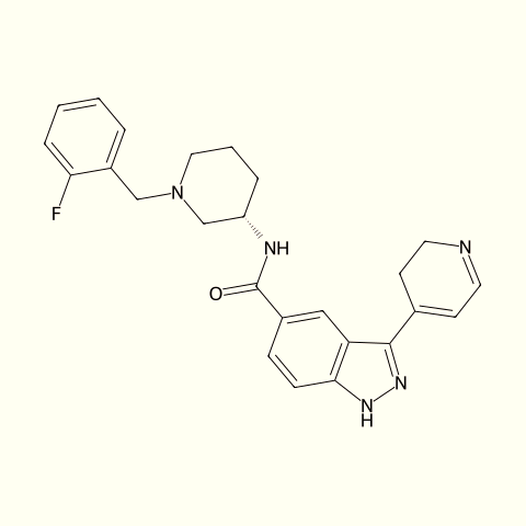 O=C(N[C@H]1CCCN(Cc2ccccc2F)C1)c1ccc2[nH]nc(C3=CC=NCC3)c2c1